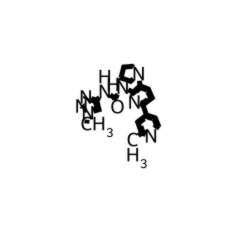 Cc1cc(-c2ccc3c(n2)N(C(=O)Nc2cn(C)nn2)[C@H]2CCN3C2)ccn1